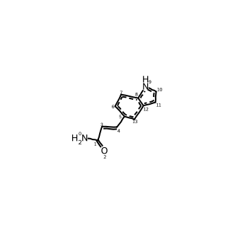 NC(=O)C=Cc1ccc2[nH]ccc2c1